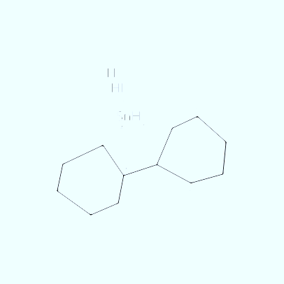 C1CCC(C2CCCCC2)CC1.I.I.[SnH2]